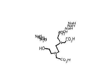 O.O.O=C(O)CN(CCO)CCN(CC(=O)O)CC(=O)O.[NaH].[NaH].[NaH].[NaH].[NaH].[NaH]